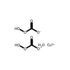 O.O=C([O-])OO.O=C([O-])OO.[Cu+2]